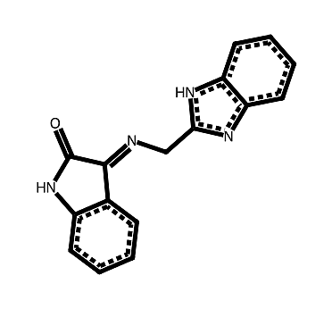 O=C1Nc2ccccc2/C1=N\Cc1nc2ccccc2[nH]1